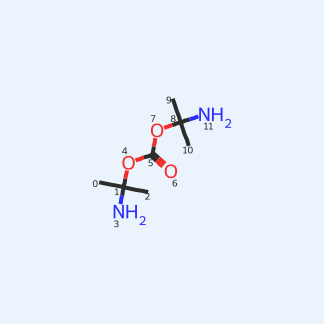 CC(C)(N)OC(=O)OC(C)(C)N